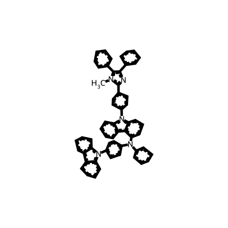 Cn1c(-c2ccc(-n3c4ccccc4c4c(N(c5ccccc5)c5ccc(-n6c7ccccc7c7ccccc76)cc5)cccc43)cc2)nc(-c2ccccc2)c1-c1ccccc1